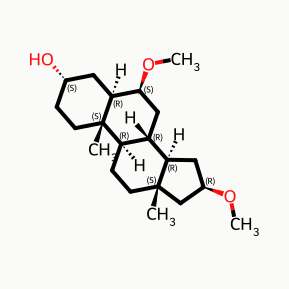 CO[C@@H]1C[C@@H]2[C@H]3C[C@H](OC)[C@@H]4C[C@@H](O)CC[C@@]4(C)[C@@H]3CC[C@@]2(C)C1